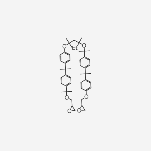 CCC(C)(CC(C)(C)Oc1ccc(C(C)(C)c2ccc(C(C)(C)OCC3CO3)cc2)cc1)OC(C)(C)c1ccc(C(C)(C)c2ccc(OCC3CO3)cc2)cc1